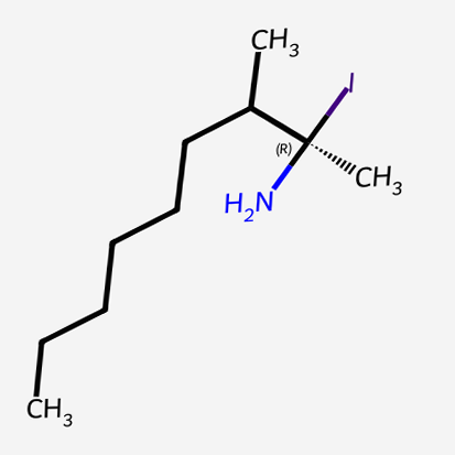 CCCCCCC(C)[C@](C)(N)I